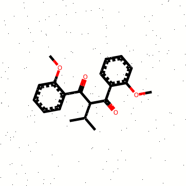 COc1ccccc1C(=O)[C](C(=O)c1ccccc1OC)C(C)C